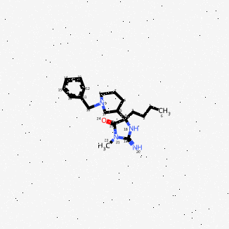 CCCCC1(C2CCCN(Cc3ccccc3)C2)NC(=N)N(C)C1=O